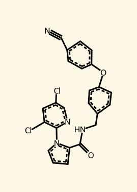 N#Cc1ccc(Oc2ccc(CNC(=O)c3cccn3-c3ncc(Cl)cc3Cl)cc2)cc1